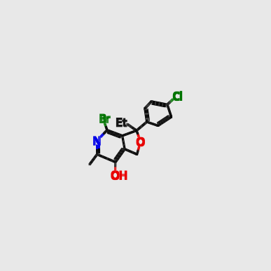 CCC1(c2ccc(Cl)cc2)OCc2c(O)c(C)nc(Br)c21